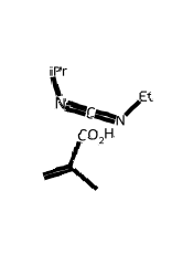 C=C(C)C(=O)O.CCN=C=NC(C)C